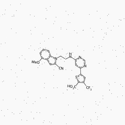 COc1cccc2c1cc(C#N)n2CCNc1cc(-c2cc(C(F)(F)F)c(C(=O)O)s2)ncn1